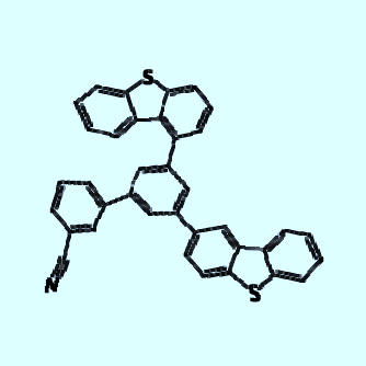 N#Cc1cccc(-c2cc(-c3ccc4sc5ccccc5c4c3)cc(-c3cccc4sc5ccccc5c34)c2)c1